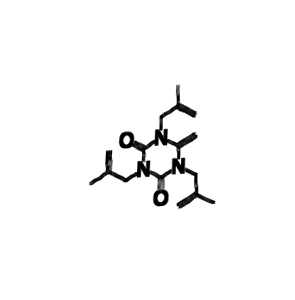 C=C(C)CN1C(=C)N(CC(=C)C)C(=O)N(CC(=C)C)C1=O